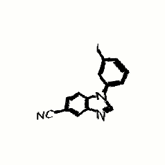 N#Cc1ccc2c(c1)ncn2-c1cccc(I)c1